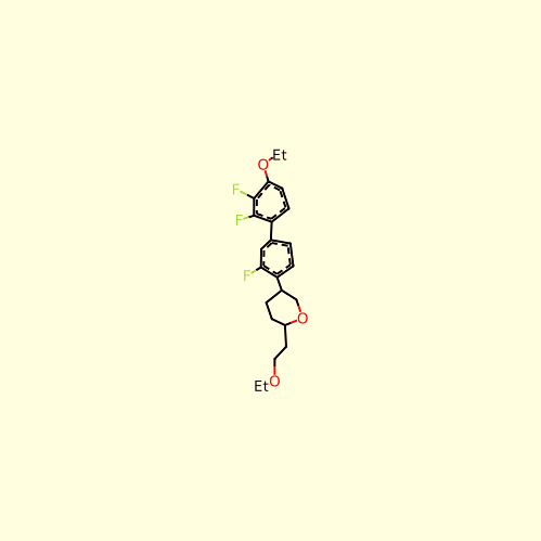 CCOCCC1CCC(c2ccc(-c3ccc(OCC)c(F)c3F)cc2F)CO1